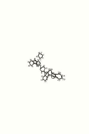 c1ccc(-c2nc(-c3ccc(-n4c5ccccc5c5c6oc7ccccc7c6ccc54)cc3)nc3c2sc2ccccc23)cc1